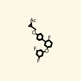 CC(=O)C1CC1COc1ccc(-c2cc(Oc3cc(F)cc(F)c3)ccc2F)cc1